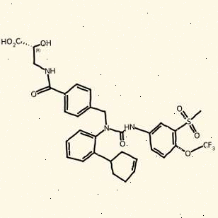 CS(=O)(=O)c1cc(NC(=O)N(Cc2ccc(C(=O)NC[C@@H](O)C(=O)O)cc2)c2ccccc2C2CC=CCC2)ccc1OC(F)(F)F